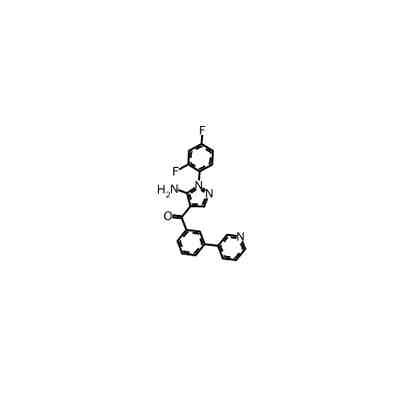 Nc1c(C(=O)c2cccc(-c3cccnc3)c2)cnn1-c1ccc(F)cc1F